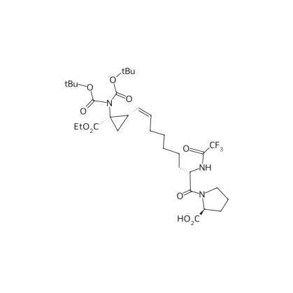 CCOC(=O)[C@@]1(N(C(=O)OC(C)(C)C)C(=O)OC(C)(C)C)C[C@H]1/C=C\CCCCC[C@H](NC(=O)C(F)(F)F)C(=O)N1CCC[C@H]1C(=O)O